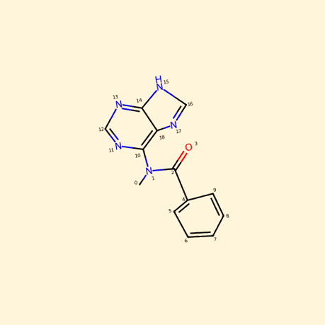 CN(C(=O)c1ccccc1)c1ncnc2[nH]cnc12